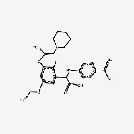 CCOc1cc(OC(C)CN2CCCCC2)c(F)c(C(Nc2ccc(C(=N)N)cc2)C(=O)O)c1